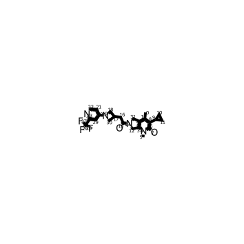 Cc1c2c(n(C)c(=O)c1C1CC1)CN(C(=O)CC1CN(c3ccnc(C(F)(F)F)c3)C1)C2